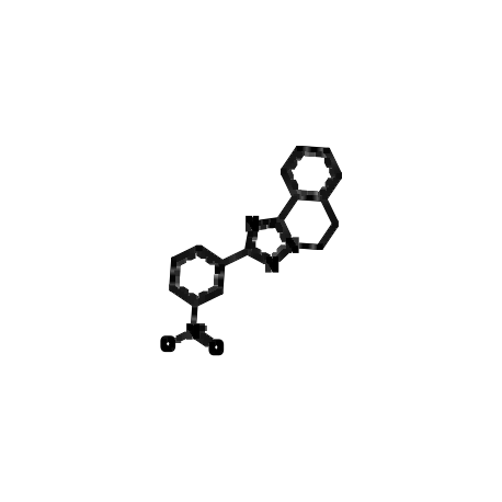 O=[N+]([O-])c1cccc(-c2nc3n(n2)CCc2ccccc2-3)c1